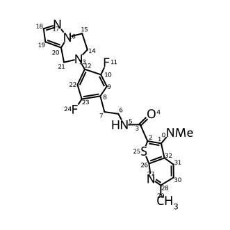 CNc1c(C(=O)NCCc2cc(F)c(N3CCn4nccc4C3)cc2F)sc2nc(C)ccc12